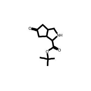 CC(C)(C)OC(=O)C1NCC2CC(=O)CC21